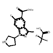 COC(=O)c1cc2c(C)nn(C3CCNC3)c2cc1F.O=C(O)C(F)(F)F